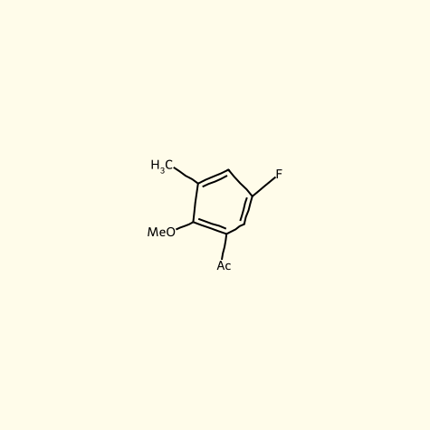 COc1c(C)cc(F)cc1C(C)=O